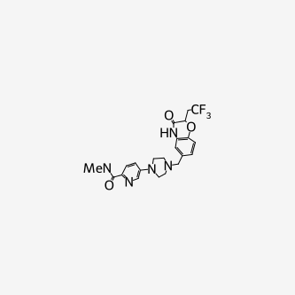 CNC(=O)c1ccc(N2CCN(Cc3ccc4c(c3)NC(=O)C(CC(F)(F)F)O4)CC2)cn1